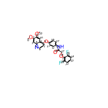 COc1cc2nccc(Oc3ccc(NC(=O)COc4c(F)cccc4F)cc3)c2cc1OC